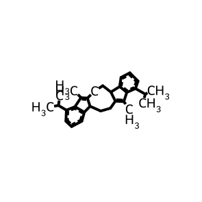 CC1=C2CCC3C(=C(C)c4c(C(C)C)cccc43)CCC2c2cccc(C(C)C)c21